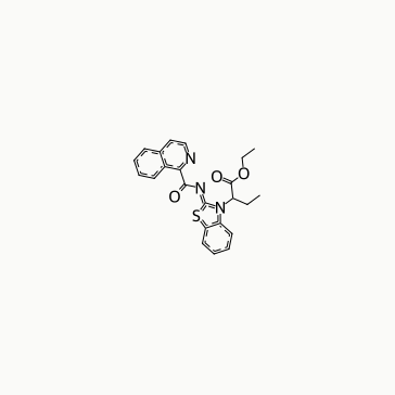 CCOC(=O)C(CC)n1c(=NC(=O)c2nccc3ccccc23)sc2ccccc21